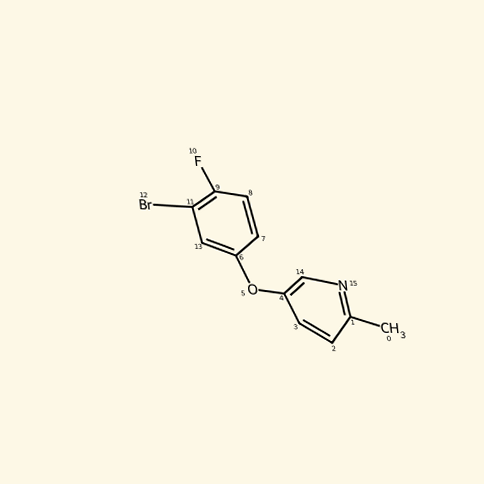 Cc1ccc(Oc2ccc(F)c(Br)c2)cn1